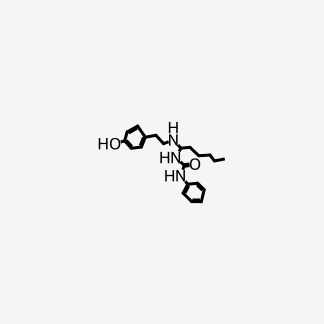 CCCCCC(NCCc1ccc(O)cc1)NC(=O)Nc1ccccc1